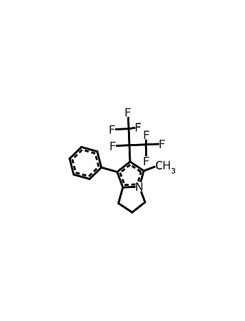 Cc1c(C(F)(C(F)(F)F)C(F)(F)F)c(-c2ccccc2)c2n1CCC2